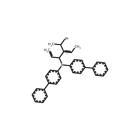 C=CC(/C(=C/C)C(C)C(C)C)N(c1ccc(-c2ccccc2)cc1)c1ccc(-c2ccccc2)cc1